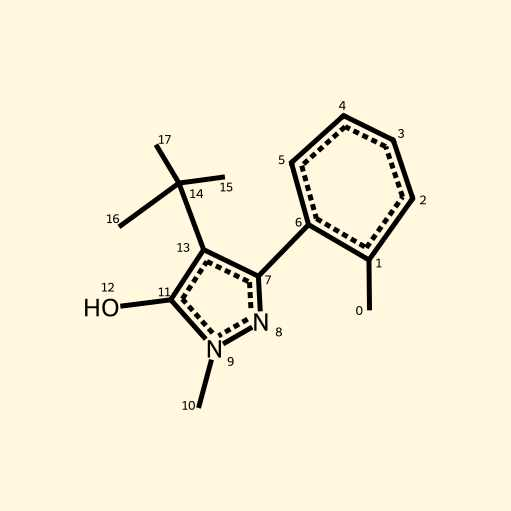 Cc1ccccc1-c1nn(C)c(O)c1C(C)(C)C